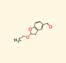 CCOC1Cc2cc(C=O)ccc2O1